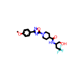 COc1ccc(-c2noc(N3CCC(C(=O)NC(CO)CC(F)(F)F)CC3)n2)cc1